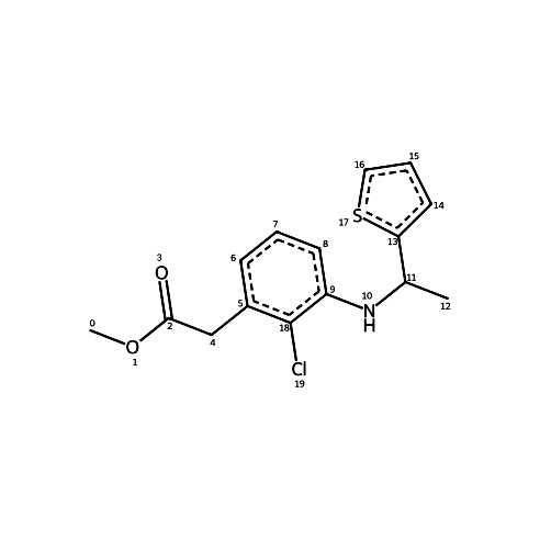 COC(=O)Cc1cccc(NC(C)c2cccs2)c1Cl